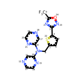 FC(F)(F)c1nc(-c2ccc(CN(c3cnccn3)c3cnccn3)s2)no1